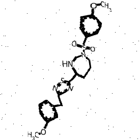 COc1ccc(S(=O)(=O)N2CCCC(c3nc(Cc4cccc(OC)c4)ns3)NC2)cc1